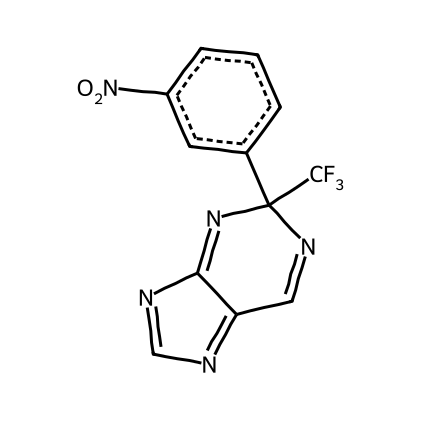 O=[N+]([O-])c1cccc(C2(C(F)(F)F)N=CC3=NC=NC3=N2)c1